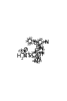 CCOC(=O)C(N)CSc1ccc(Oc2c(F)cnc(Oc3cc(C#N)ccc3OCc3ccccc3)c2F)c(C2N=CCN2C)c1